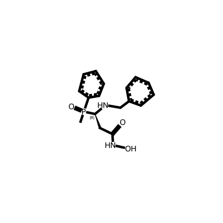 CP(=O)(c1ccccc1)[C@H](CC(=O)NO)NCc1ccccc1